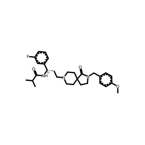 COc1ccc(CN2CCC3(CCN(CC[C@H](NC(=O)C(C)C)c4cccc(F)c4)CC3)C2=O)cc1